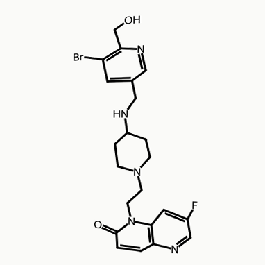 O=c1ccc2ncc(F)cc2n1CCN1CCC(NCc2cnc(CO)c(Br)c2)CC1